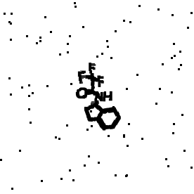 O=C(N[C@@H]1CCC2=CCCC=C21)C(F)(F)F